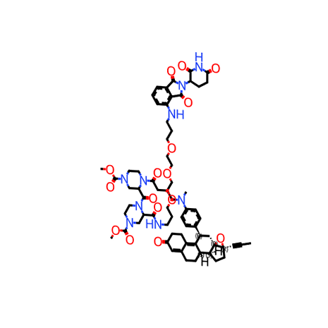 CC#C[C@]12CC[C@H]3[C@@H]4CCC5=CC(=O)CCC5=C4[C@@H](c4ccc(N(C)CCCC(=O)N5CCN(C(=O)OC)CC5C(=O)N5CCN(C(=O)OC)CC5C(=O)NCCCOCCOCCOCCCNc5cccc6c5C(=O)N(C5CCC(=O)NC5=O)C6=O)cc4)C[C@@]31O2